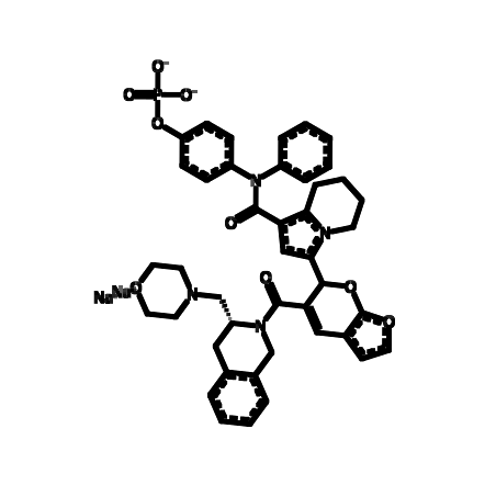 O=C(c1cc(C2Oc3occc3C=C2C(=O)N2Cc3ccccc3C[C@@H]2CN2CCOCC2)n2c1CCCC2)N(c1ccccc1)c1ccc(OP(=O)([O-])[O-])cc1.[Na+].[Na+]